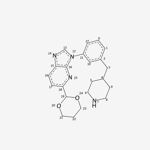 c1cc(CC2CCNCC2)cc(-n2cnc3ccc(C4OCCCO4)nc32)c1